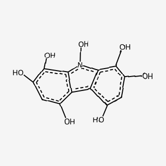 Oc1cc(O)c2c3c(O)cc(O)c(O)c3n(O)c2c1O